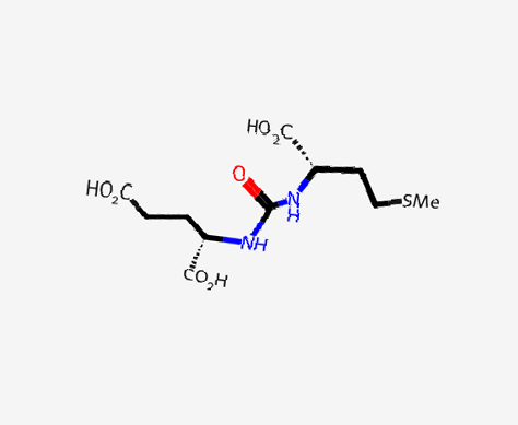 [11CH3]SCC[C@H](NC(=O)N[C@@H](CCC(=O)O)C(=O)O)C(=O)O